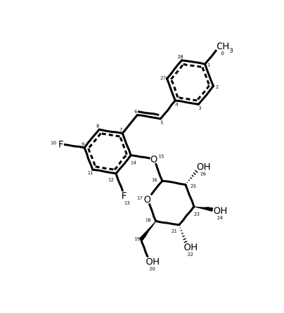 Cc1ccc(/C=C/c2cc(F)cc(F)c2OC2O[C@H](CO)[C@@H](O)[C@H](O)[C@H]2O)cc1